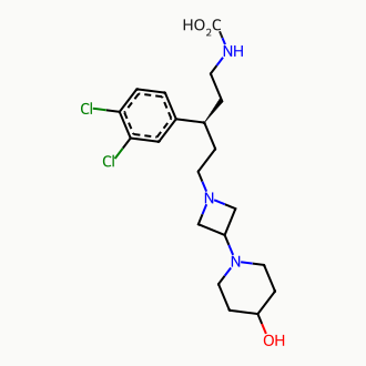 O=C(O)NCC[C@@H](CCN1CC(N2CCC(O)CC2)C1)c1ccc(Cl)c(Cl)c1